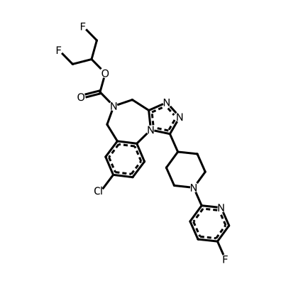 O=C(OC(CF)CF)N1Cc2cc(Cl)ccc2-n2c(nnc2C2CCN(c3ccc(F)cn3)CC2)C1